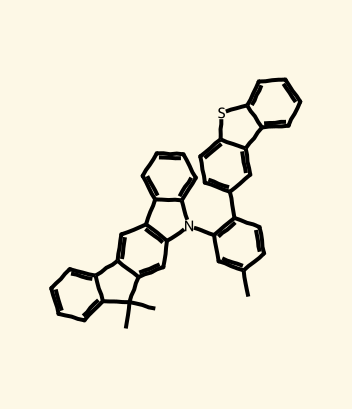 Cc1ccc(-c2ccc3sc4ccccc4c3c2)c(-n2c3ccccc3c3cc4c(cc32)C(C)(C)c2ccccc2-4)c1